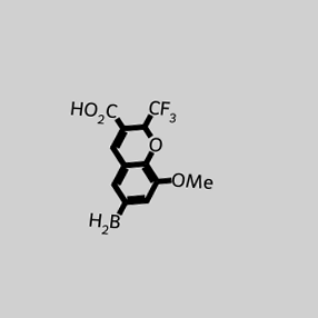 Bc1cc2c(c(OC)c1)OC(C(F)(F)F)C(C(=O)O)=C2